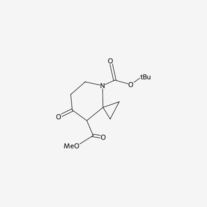 COC(=O)C1C(=O)CCN(C(=O)OC(C)(C)C)C12CC2